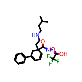 CC(C)CCNCCC1(C(N)=O)C=CC=C(c2ccccc2)C1.O=C(O)C(F)(F)F